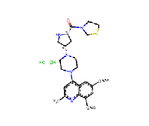 COc1cc(OC)c2nc(C(F)(F)F)cc(N3CCN([C@@H]4CN[C@H](C(=O)N5CCSC5)C4)CC3)c2c1.Cl.Cl